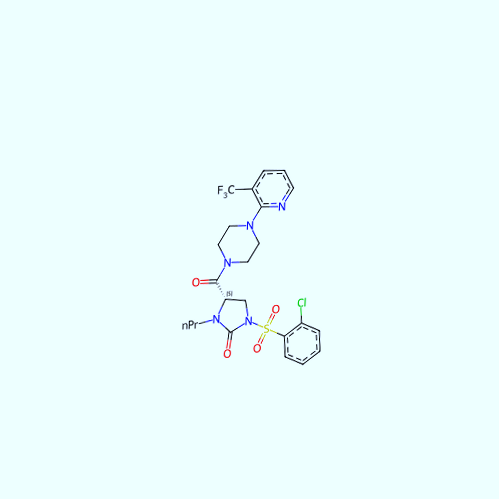 CCCN1C(=O)N(S(=O)(=O)c2ccccc2Cl)C[C@H]1C(=O)N1CCN(c2ncccc2C(F)(F)F)CC1